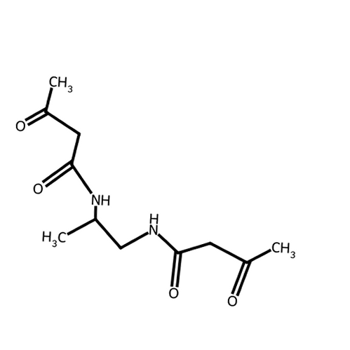 CC(=O)CC(=O)NCC(C)NC(=O)CC(C)=O